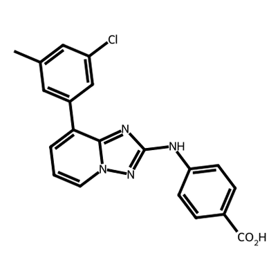 Cc1cc(Cl)cc(-c2cccn3nc(Nc4ccc(C(=O)O)cc4)nc23)c1